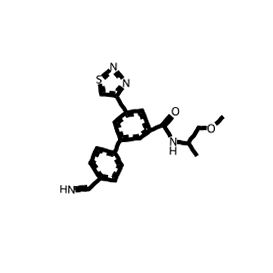 COCC(C)NC(=O)c1cc(-c2ccc(C=N)cc2)cc(-c2csnn2)c1